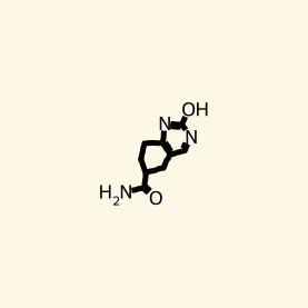 NC(=O)C1CCc2nc(O)ncc2C1